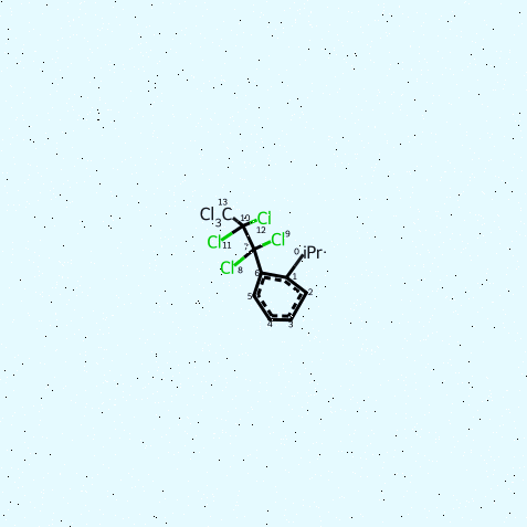 C[C](C)c1ccccc1C(Cl)(Cl)C(Cl)(Cl)C(Cl)(Cl)Cl